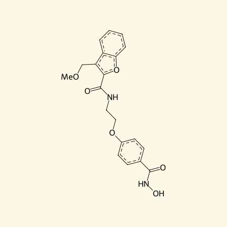 COCc1c(C(=O)NCCOc2ccc(C(=O)NO)cc2)oc2ccccc12